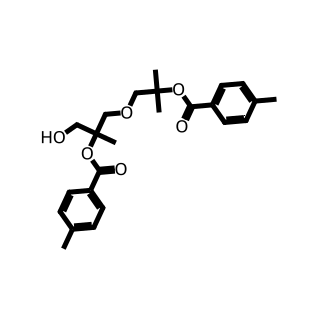 Cc1ccc(C(=O)OC(C)(C)COCC(C)(CO)OC(=O)c2ccc(C)cc2)cc1